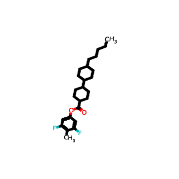 CCCCCC1CCC(C2CCC(C(=O)Oc3cc(F)c(C)c(F)c3)CC2)CC1